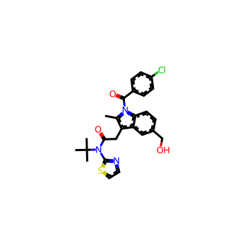 Cc1c(CC(=O)N(c2nccs2)C(C)(C)C)c2cc(CO)ccc2n1C(=O)c1ccc(Cl)cc1